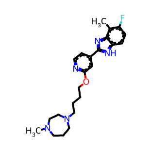 Cc1c(F)ccc2[nH]c(-c3ccnc(OCCCCN4CCCN(C)CC4)c3)nc12